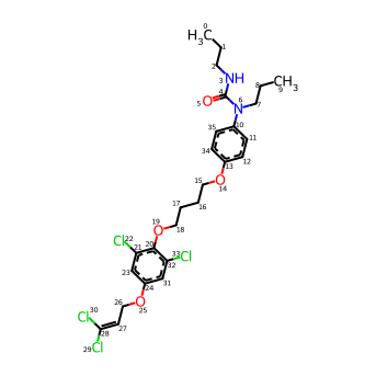 CCCNC(=O)N(CCC)c1ccc(OCCCCOc2c(Cl)cc(OCC=C(Cl)Cl)cc2Cl)cc1